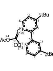 CC(C)(C)c1ccnc(-c2cc(C(C)(C)C)ccn2)c1.COC(=O)C(Cl)(Cl)Cl